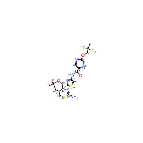 CC(F)(F)COc1cnc(C(=O)Nc2csc([C@@]34COC(C)(C)CC3CSC(N)=N4)n2)cn1